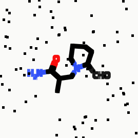 CC(CN1CCCCC1C=O)C(N)=O